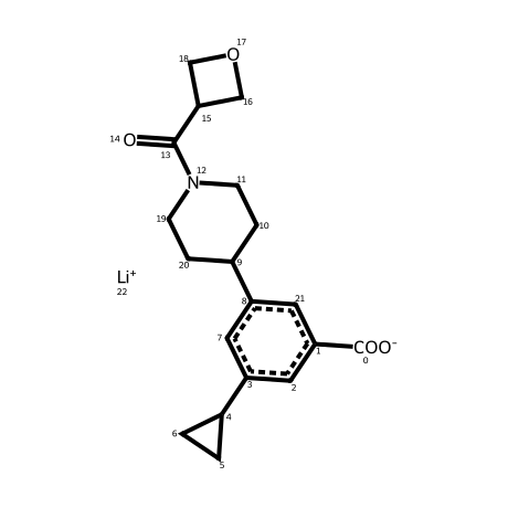 O=C([O-])c1cc(C2CC2)cc(C2CCN(C(=O)C3COC3)CC2)c1.[Li+]